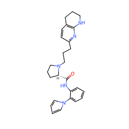 O=C(Nc1ccccc1-n1cccc1)[C@@H]1CCCN1CCCc1ccc2c(n1)NCCC2